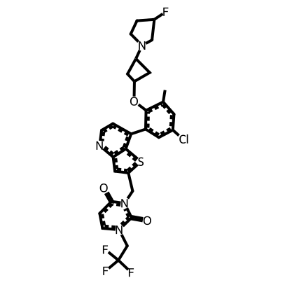 Cc1cc(Cl)cc(-c2ccnc3cc(Cn4c(=O)ccn(CC(F)(F)F)c4=O)sc23)c1OC1CC(N2CCC(F)C2)C1